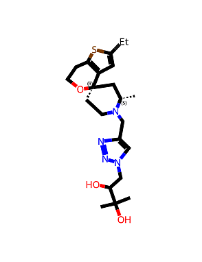 CCc1cc2c(s1)CCO[C@@]21CCN(Cc2cn(CC(O)C(C)(C)O)nn2)[C@@H](C)C1